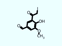 COc1cc(C=O)cc(C(=O)CI)c1O